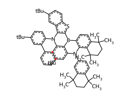 CC(C)(C)c1ccc(N2c3cc(C(C)(C)C)cc4c3B(c3ccc5c(c3N4c3ccc4c(c3)C(C)(C)CCC4(C)C)C(C)(C)CCC5(C)C)c3sc4ccc(C(C)(C)C)cc4c32)c(-c2ccccc2)c1